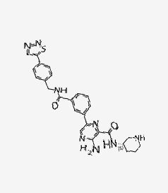 Nc1ncc(-c2cccc(C(=O)NCc3ccc(-c4cnns4)cc3)c2)nc1C(=O)N[C@H]1CCCNC1